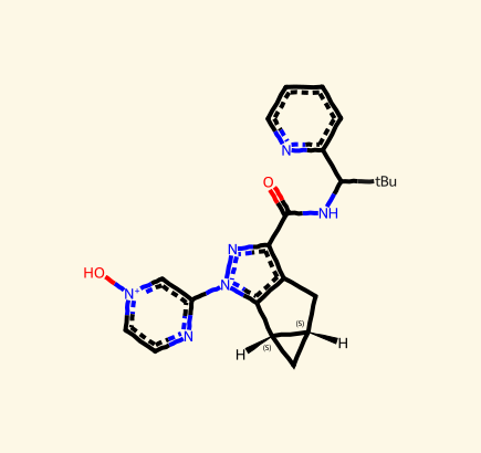 CC(C)(C)C(NC(=O)c1nn(-c2c[n+](O)ccn2)c2c1C[C@@H]1C[C@H]21)c1ccccn1